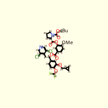 COc1ccc(C(=O)O[C@@H](Cc2c(Cl)cncc2Cl)c2ccc(OC(F)F)c(OCC3CC3)c2)cc1OC(=O)[C@@H]1CCCN1C(=O)OC(C)(C)C